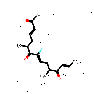 C/C=C/C(=O)C(C)C/C=C(\F)C(=O)C(C)C/C=C/C(=O)C(C)C